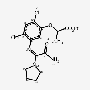 CCOC(=O)C(C)Oc1cc(N=C(C(N)=O)N2CCCC2)c(Cl)cc1Cl